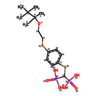 CC(C)(C)[Si](C)(C)OCCSc1ccc(SC(P(=O)(O)O)P(=O)(O)O)cc1